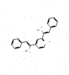 CC[n+]1ccc(C(=Cc2ccccc2)N(C)C)cc1C(=Cc1ccccc1)N(C)C